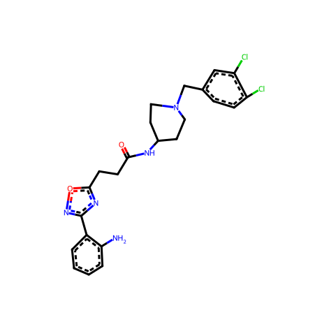 Nc1ccccc1-c1noc(CCC(=O)NC2CCN(Cc3ccc(Cl)c(Cl)c3)CC2)n1